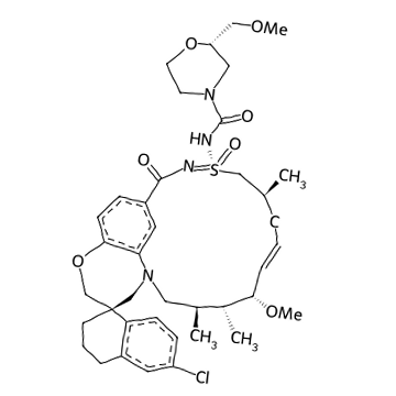 COC[C@@H]1CN(C(=O)N[S@@]2(=O)=NC(=O)c3ccc4c(c3)N(C[C@H](C)[C@@H](C)[C@@H](OC)/C=C/C[C@H](C)C2)C[C@@]2(CCCc3cc(Cl)ccc32)CO4)CCO1